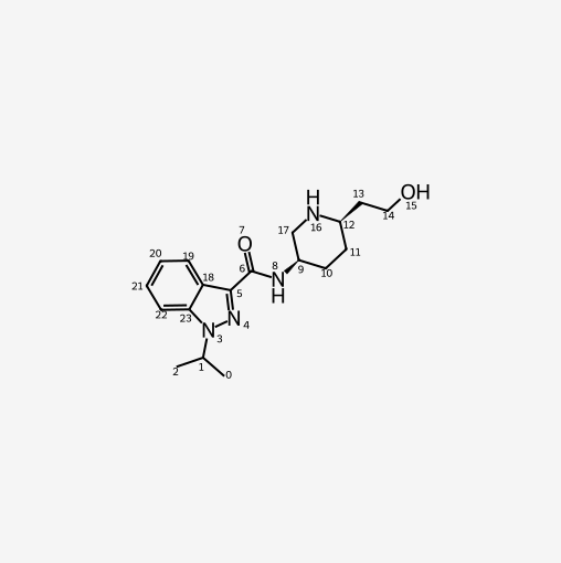 CC(C)n1nc(C(=O)N[C@@H]2CC[C@H](CCO)NC2)c2ccccc21